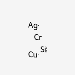 [Ag].[Cr].[Cu].[Si]